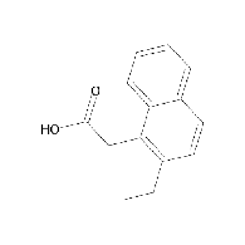 CCc1ccc2ccccc2c1CC(=O)O